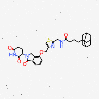 O=C(CCCC12CC3CC(CC(C3)C1)C2)NCc1nc(COc2cccc3c2CN(C2CCC(=O)NC2=O)C3=O)cs1